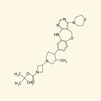 CC1CN(C2CN(C(=O)OC(C)(C)C)C2)CCC1c1ccc2c(c1)Nc1ncnc(N3CCOCC3)c1CO2